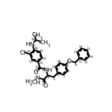 CNC(=O)C(Cc1ccc(OCc2ccccc2)cc1)NC(=O)c1ccc(NC(C)C)c(Cl)c1